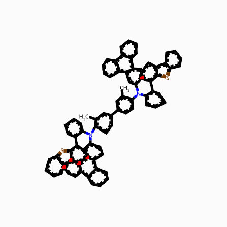 Cc1cc(-c2ccc(N(c3ccc4c5ccccc5c5ccccc5c4c3)c3ccccc3-c3cccc4c3sc3ccccc34)c(C)c2)ccc1N(c1ccc2c3ccccc3c3ccccc3c2c1)c1ccccc1-c1cccc2c1sc1ccccc12